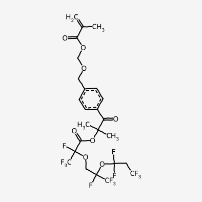 C=C(C)C(=O)OCOCc1ccc(C(=O)C(C)(C)OC(=O)C(F)(OCC(F)(OC(F)(F)CC(F)(F)F)C(F)(F)F)C(F)(F)F)cc1